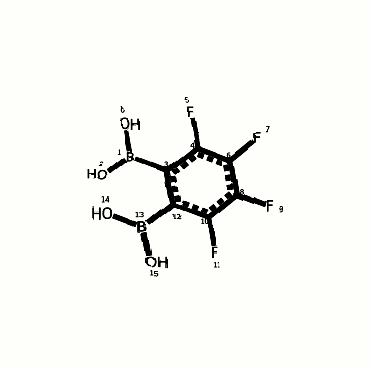 OB(O)c1c(F)c(F)c(F)c(F)c1B(O)O